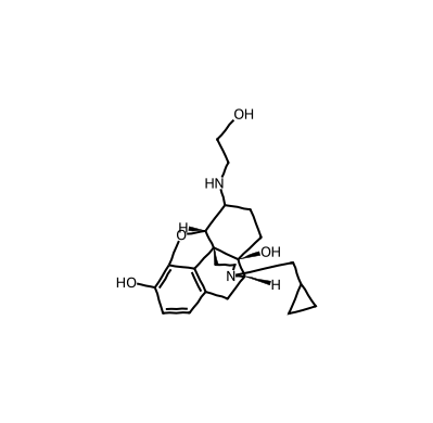 OCCNC1CC[C@]2(O)[C@@H]3Cc4ccc(O)c5c4[C@]2(CCN3CC2CC2)[C@@H]1O5